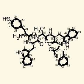 C[C@H](NC(=O)[C@@H](Cc1c[nH]c2ccccc12)NC(=O)[C@@H](N)Cc1ccc(O)cc1)C(=O)N[C@@H](Cc1c[nH]c2ccccc12)C(=O)N[C@H](Cc1ccccc1)C(N)=O